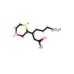 CCC(=O)CC(CCCS(=O)(=O)O)C1COCCS1